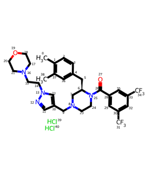 Cc1ccc(C[C@@H]2CN(Cc3cnn(CCN4CCOCC4)c3)CCN2C(=O)c2cc(C(F)(F)F)cc(C(F)(F)F)c2)cc1C.Cl.Cl